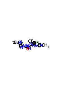 CN1CC[C@@H](Nc2cccc3c2cc(-c2noc(CNc4nccc5c4cnn5C(C)(C)C)n2)n3CC(F)(F)F)[C@@H](F)C1